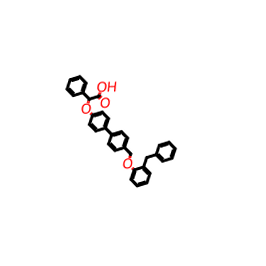 O=C(O)C(Oc1ccc(-c2ccc(COc3ccccc3Cc3ccccc3)cc2)cc1)c1ccccc1